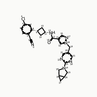 N#Cc1ccc(Cl)cc1[C@H]1C[C@@H](NC(=O)c2cnn(Cc3cnc(N4CC5CC5C4)nc3)c2)C1